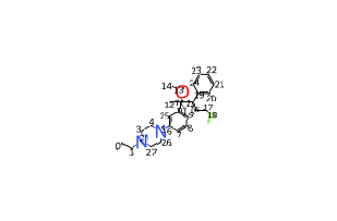 CCN1CCN(c2cccc(C(C)(OC)C(CCF)c3ccccc3)c2)CC1